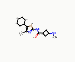 N#CNC1CC(C(=O)Nc2nc(C(F)(F)F)c(C3CCCCC3)s2)C1